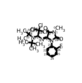 CN1C(=O)C(=NC(N(C(C)(C)C)C(C)(C)C)C(Cl)(Cl)Cl)N(c2ccccc2F)C1=O